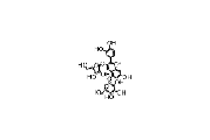 OC[C@H]1O[C@@H](Oc2cc(O)cc3[o+]c(-c4ccc(O)c(O)c4)c(O[C@H]4O[C@H](CO)[C@@H](O)[C@@H]4O)cc23)[C@H](O)[C@@H](O)[C@@H]1O